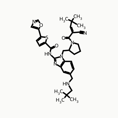 CC(C)(C)C=C(C#N)C(=O)N1CCCC1Cn1c(NC(=O)c2ccc(-c3cnco3)s2)nc2cc(CNCC(C)(C)C)ccc21